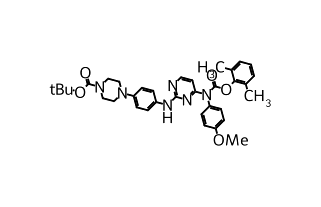 COc1ccc(N(C(=O)Oc2c(C)cccc2C)c2ccnc(Nc3ccc(N4CCN(C(=O)OC(C)(C)C)CC4)cc3)n2)cc1